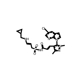 Cc1nn(C)c(-n2ccc3cc(Cl)cnc32)c1C=CC(=O)NS(=O)(=O)CC=CNCC1CC1